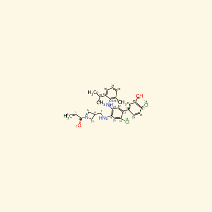 C=CC(=O)N1CC(CNc2cc(Cl)c(-c3ccc(Cl)c(O)c3)cc2Nc2c(C)cccc2C(C)C)C1